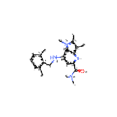 Cc1cccc(C)c1CNc1cc(C(=O)N(C)C)nc2c(C)c(C)n(C)c12